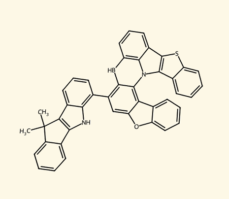 CC1(C)c2ccccc2-c2[nH]c3c(-c4cc5oc6ccccc6c5c5c4Bc4cccc6c7sc8ccccc8c7n-5c46)cccc3c21